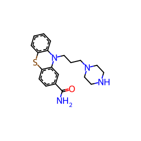 NC(=O)c1ccc2c(c1)N(CCCN1CCNCC1)c1ccccc1S2